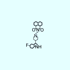 O=C1c2cccc3cccc(c23)C(=O)N1CCN1CCC(c2c[nH]c3ccc(F)cc23)CC1